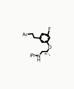 CC(=O)CCc1cc(F)cc(O[C@H](C)CNC(C)C)c1